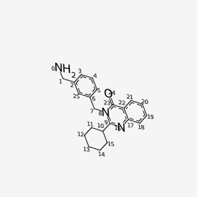 NCc1cccc(Cn2c(C3CCCCC3)nc3ccccc3c2=O)c1